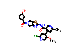 COc1cnc(Cl)cc1-c1cc(C)ncc1C(=O)Nc1nc2c(s1)CN(C(=O)C1CCC(O)C1)C2